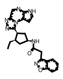 CC[C@@H]1C[C@H](NC(=O)Cc2noc3ccccc23)C[C@@H]1c1nnc2cnc3[nH]ccc3n12